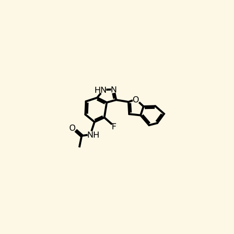 CC(=O)Nc1ccc2[nH]nc(-c3cc4ccccc4o3)c2c1F